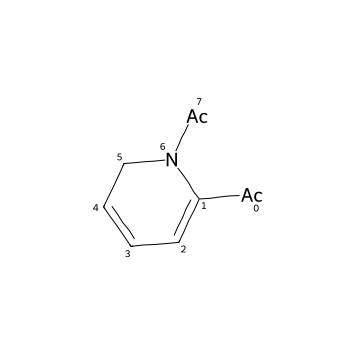 CC(=O)C1=CC=CCN1C(C)=O